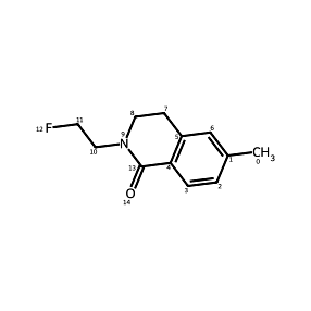 Cc1ccc2c(c1)CCN(CCF)C2=O